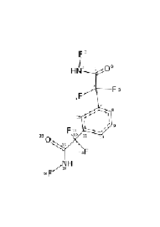 O=C(NF)C(F)(F)c1cccc(C(F)(F)C(=O)NF)c1